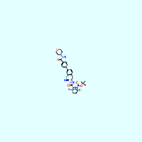 CC(C)(C)OC(=O)N1[C@@H]2CC[C@@H](C2)[C@H]1C(=O)N[C@H](C#N)Cc1ccc(-c2ccc(C(=O)NC3CCOCC3)cc2)cc1F